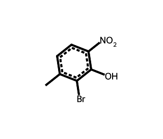 Cc1ccc([N+](=O)[O-])c(O)c1Br